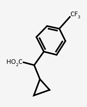 O=C(O)C(c1ccc(C(F)(F)F)cc1)C1CC1